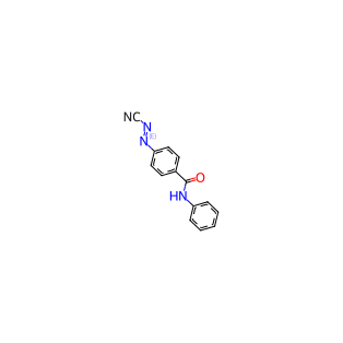 N#C/N=N/c1ccc(C(=O)Nc2ccccc2)cc1